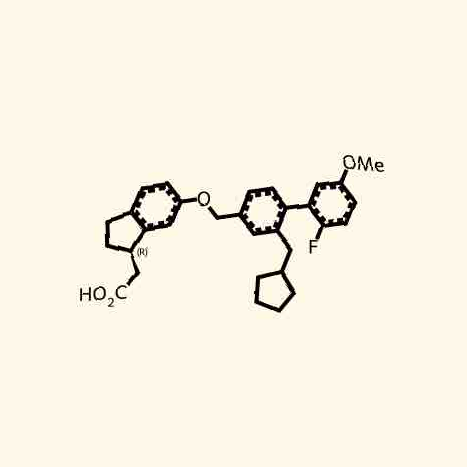 COc1ccc(F)c(-c2ccc(COc3ccc4c(c3)[C@@H](CC(=O)O)CC4)cc2CC2CCCC2)c1